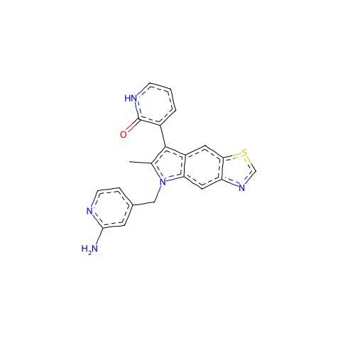 Cc1c(-c2ccc[nH]c2=O)c2cc3scnc3cc2n1Cc1ccnc(N)c1